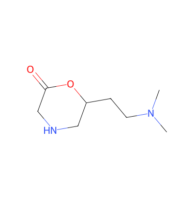 CN(C)CCC1CNCC(=O)O1